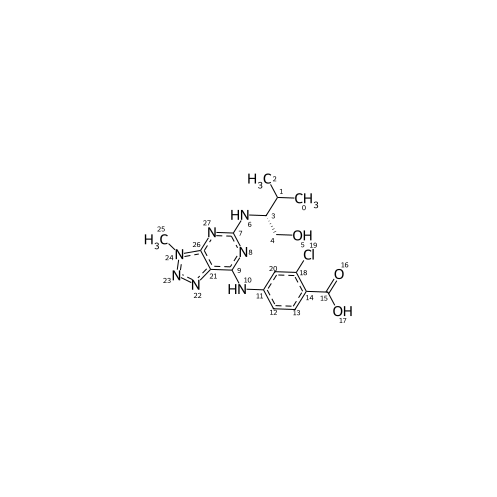 CC(C)[C@H](CO)Nc1nc(Nc2ccc(C(=O)O)c(Cl)c2)c2nnn(C)c2n1